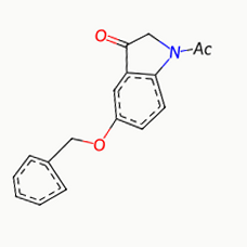 CC(=O)N1CC(=O)c2cc(OCc3ccccc3)ccc21